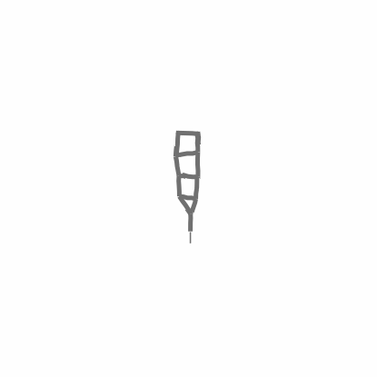 IC1C2C1C1C3CCC3C21